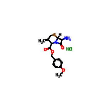 C=C1CS[C@@H]2C(N)C(=O)N2C1C(=O)OCc1ccc(OC)cc1.Cl